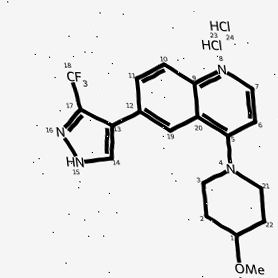 COC1CCN(c2ccnc3ccc(-c4c[nH]nc4C(F)(F)F)cc23)CC1.Cl.Cl